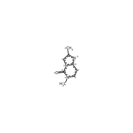 Cc1cn2c(=O)n(C)ccc2n1